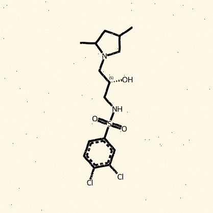 CC1CC(C)N(C[C@H](O)CNS(=O)(=O)c2ccc(Cl)c(Cl)c2)C1